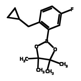 CC1(C)OB(c2cc(F)ccc2CC2CC2)OC1(C)C